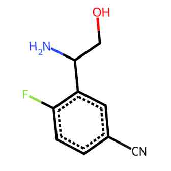 N#Cc1ccc(F)c(C(N)CO)c1